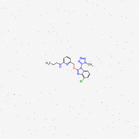 CCCNc1cccc(COc2nc3c(Br)cccc3n2-c2nnnn2C)n1